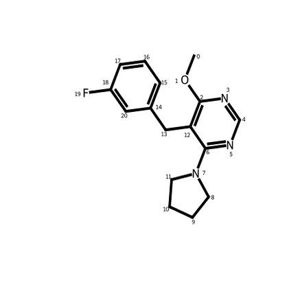 COc1ncnc(N2CCCC2)c1Cc1cccc(F)c1